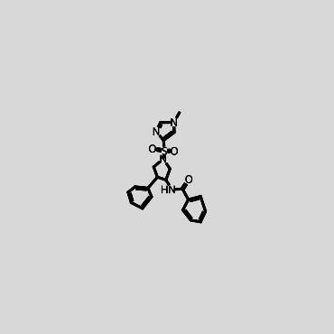 Cn1cnc(S(=O)(=O)N2CC(NC(=O)c3ccccc3)C(c3ccccc3)C2)c1